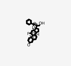 C[C@]12C=CC(=O)C=C1CC[C@H]1[C@@H]3CC[C@](OC(=O)c4ccccc4)(C(=O)CO)[C@@]3(C)CC(F)[C@@]12Cl